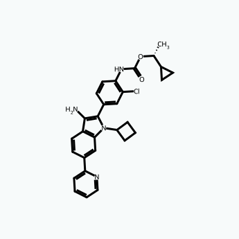 C[C@@H](OC(=O)Nc1ccc(-c2c(N)c3ccc(-c4ccccn4)cc3n2C2CCC2)cc1Cl)C1CC1